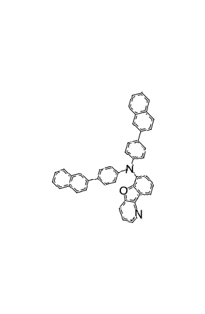 c1ccc2cc(-c3ccc(N(c4ccc(-c5ccc6ccccc6c5)cc4)c4cccc5c4oc4cccnc45)cc3)ccc2c1